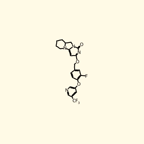 O=c1nc(OCc2ccc(Oc3cncc(C(F)(F)F)c3)c(F)c2)cc2n1CC1CCCCN21